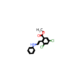 COC(=O)c1[c]c(Cl)cc(Cl)c1C=CNc1ccccc1